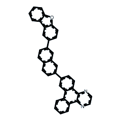 c1ccc2c(c1)oc1ccc(-c3ccc4ccc(-c5ccc6c(c5)c5ccccc5c5nccnc65)cc4c3)cc12